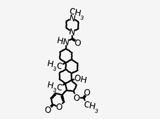 CC(=O)OC1CC2(O)C3CCC4CC(NC(=O)N5CCN(C)CC5)CCC4(C)C3CCC2(C)C1c1ccc(=O)oc1